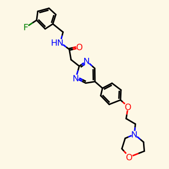 O=C(Cc1ncc(-c2ccc(OCCN3CCOCC3)cc2)cn1)NCc1cccc(F)c1